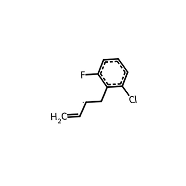 C=C[CH]Cc1c(F)cccc1Cl